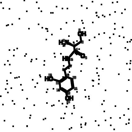 N[C@@H](CO)C(=O)NCCc1ccc(O)cc1O